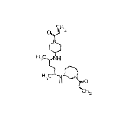 C=CC(=O)N1CCC(NC(C)CCC(C)NC2CCCCN(C(=O)C=C)C2)CC1